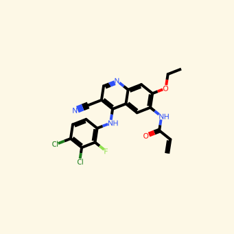 C=CC(=O)Nc1cc2c(Nc3ccc(Cl)c(Cl)c3F)c(C#N)cnc2cc1OCC